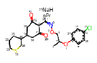 CCCC(=NOCC(C)Oc1ccc(Cl)cc1)C1C(=O)CC(C2CCCSC2)CC1=O.[NaH]